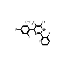 CCOC(=O)C1=C(CC)NC(c2ncccc2F)=NC1c1ccc(F)cc1F